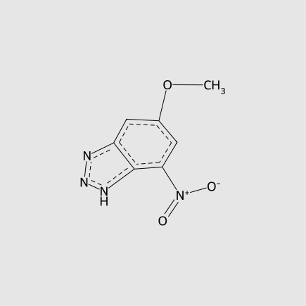 COc1cc([N+](=O)[O-])c2[nH]nnc2c1